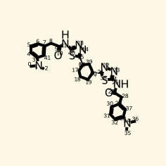 CN(C)c1cccc(CC(=O)Nc2nnc([C@@H]3CCC[C@@H](c4nnc(NC(=O)Cc5cccc(N(C)C)c5)s4)C3)s2)c1